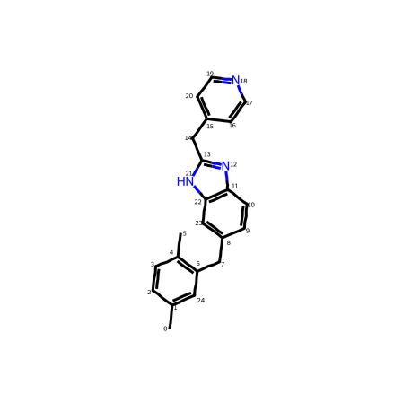 Cc1ccc(C)c(Cc2ccc3nc(Cc4ccncc4)[nH]c3c2)c1